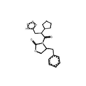 O=C1OCC(Cc2ccccc2)N1C(=O)C(Cc1nnn[nH]1)C1CCCC1